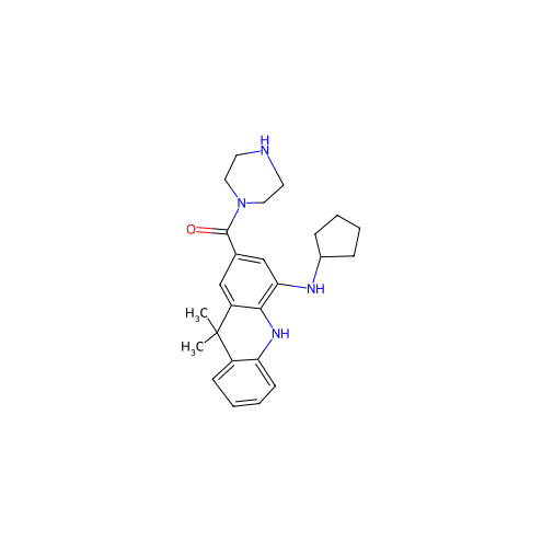 CC1(C)c2ccccc2Nc2c(NC3CCCC3)cc(C(=O)N3CCNCC3)cc21